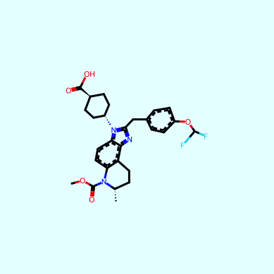 COC(=O)N1c2ccc3c(nc(Cc4ccc(OC(F)F)cc4)n3[C@H]3CC[C@H](C(=O)O)CC3)c2CC[C@@H]1C